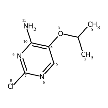 CC(C)Oc1cnc(Cl)nc1N